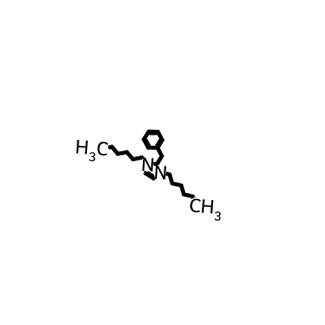 CCCCCCN1C=CN(CCCCCC)C1Cc1ccccc1